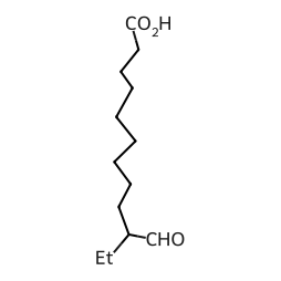 CCC(C=O)CCCCCCCCC(=O)O